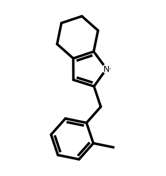 Cc1ccccc1CC1=CC2=C(CCCC2)[N]1